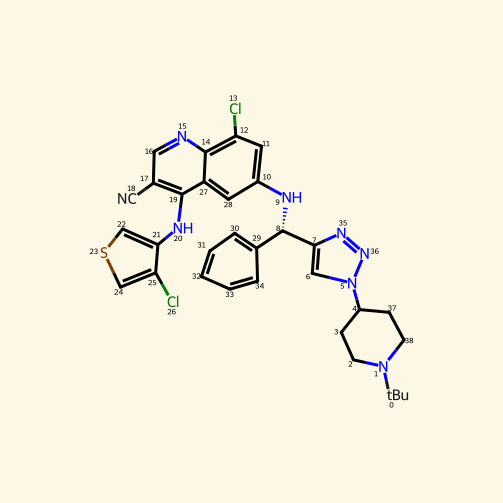 CC(C)(C)N1CCC(n2cc([C@@H](Nc3cc(Cl)c4ncc(C#N)c(Nc5cscc5Cl)c4c3)c3ccccc3)nn2)CC1